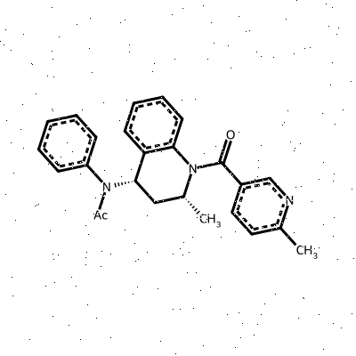 CC(=O)N(c1ccccc1)[C@H]1C[C@@H](C)N(C(=O)c2ccc(C)nc2)c2ccccc21